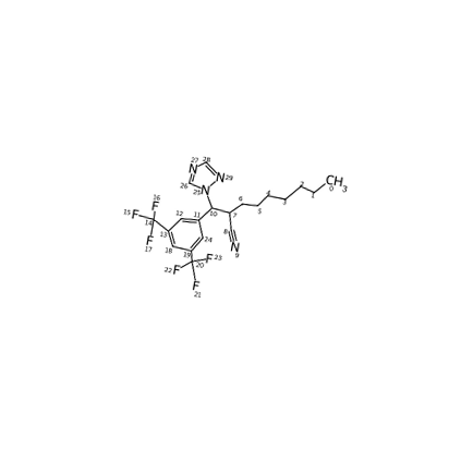 CCCCCCCC(C#N)C(c1cc(C(F)(F)F)cc(C(F)(F)F)c1)n1cncn1